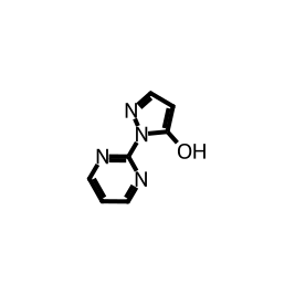 Oc1ccnn1-c1ncccn1